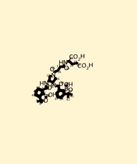 CC1(C)OB(O)c2c(C(=O)NC3CN(C(=O)CCC(=O)N[C@@H](CCC(=O)O)C(=O)O)CC3NC(=O)c3cccc4c3B(O)OC4(C)C)cccc21